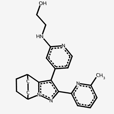 Cc1cccc(-c2nn3c(c2-c2ccnc(NCCO)c2)C2CCC3CC2)n1